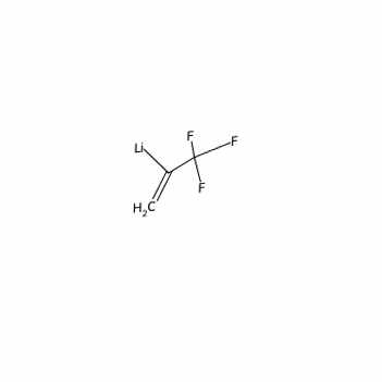 [Li][C](=C)C(F)(F)F